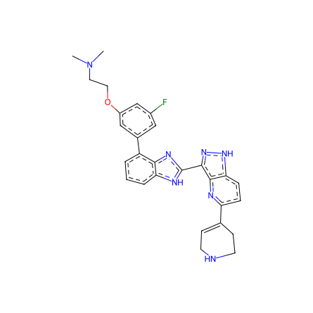 CN(C)CCOc1cc(F)cc(-c2cccc3[nH]c(-c4n[nH]c5ccc(C6=CCNCC6)nc45)nc23)c1